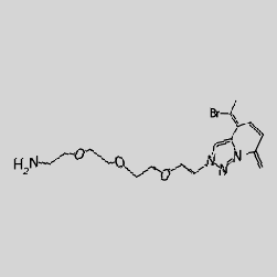 C=C(C)/C=C\C(=C(/C)Br)c1cn(CCOCCOCCOCCN)nn1